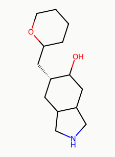 OC1CC2CNCC2C[C@@H]1CC1CCCCO1